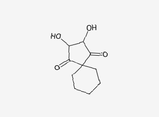 O=C1C(O)C(O)C(=O)C12CCCCC2